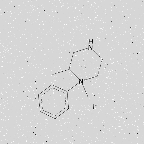 CC1CNCC[N+]1(C)c1ccccc1.[I-]